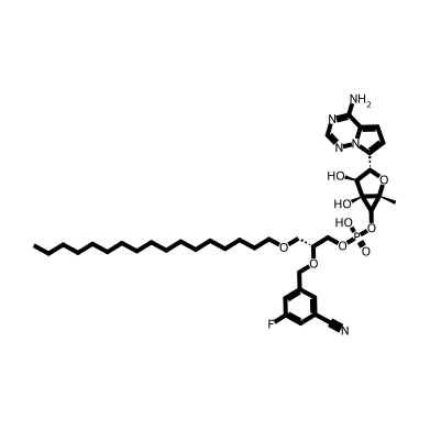 CCCCCCCCCCCCCCCCCOC[C@H](COP(=O)(O)OC1[C@@]2(C)O[C@@H](c3ccc4c(N)ncnn34)[C@H](O)[C@@]12O)OCc1cc(F)cc(C#N)c1